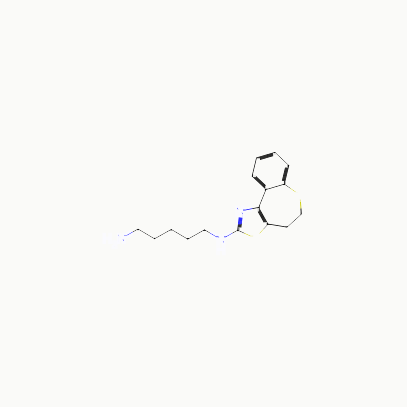 NCCCCCNc1nc2c(s1)CCSc1ccccc1-2